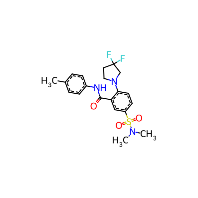 Cc1ccc(NC(=O)c2cc(S(=O)(=O)N(C)C)ccc2N2CCC(F)(F)C2)cc1